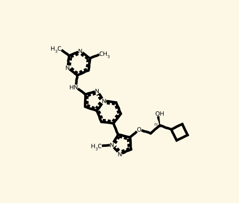 Cc1cc(Nc2cc3cc(-c4c(OC[C@@H](O)C5CCC5)cnn4C)ccn3n2)nc(C)n1